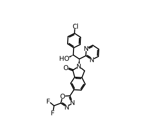 O=C1c2cc(-c3nnc(C(F)F)o3)ccc2CN1[C@H](c1ncccn1)[C@@H](O)c1ccc(Cl)cc1